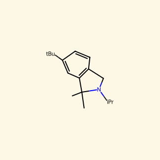 CC(C)N1Cc2ccc(C(C)(C)C)cc2C1(C)C